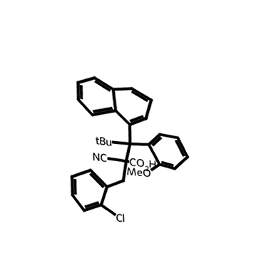 COc1ccccc1C(c1cccc2ccccc12)(C(C)(C)C)C(C#N)(Cc1ccccc1Cl)C(=O)O